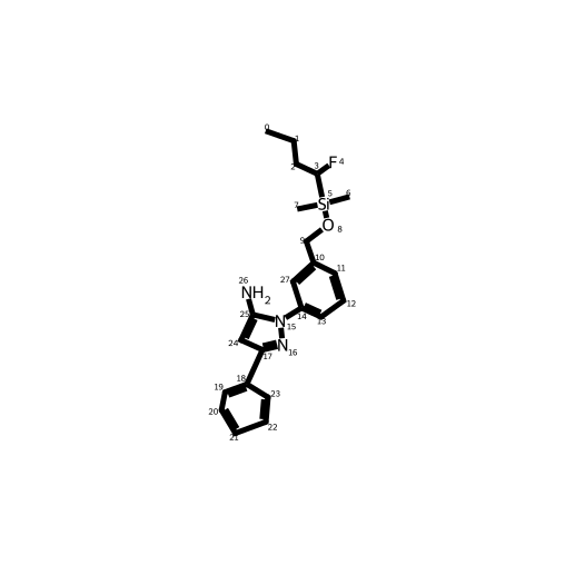 CCCC(F)[Si](C)(C)OCc1cccc(-n2nc(-c3ccccc3)cc2N)c1